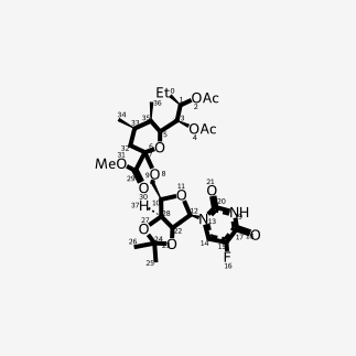 CC[C@@H](OC(C)=O)[C@@H](OC(C)=O)C1OC(OC[C@H]2O[C@@H](n3cc(F)c(=O)[nH]c3=O)C3OC(C)(C)O[C@H]32)(C(=O)OC)C[C@@H](C)[C@H]1C